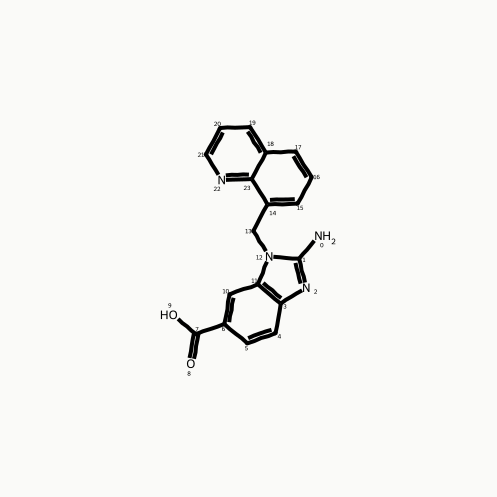 Nc1nc2ccc(C(=O)O)cc2n1Cc1cccc2cccnc12